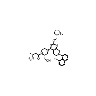 C[C@H](N)CC(=O)N1CCN(c2nc(OC[C@@H]3CCCN3C)nc3c2CCN(c2cccc4cccc(Cl)c24)C3)C[C@@H]1CC#N